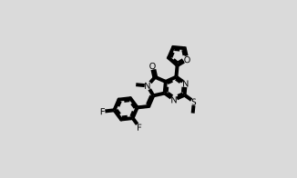 CSc1nc2c(c(-c3ccco3)n1)C(=O)N(C)/C2=C\c1ccc(F)cc1F